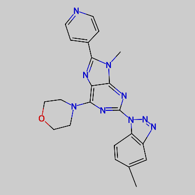 Cc1ccc2c(c1)nnn2-c1nc(N2CCOCC2)c2nc(-c3ccncc3)n(C)c2n1